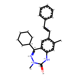 Cc1cc2c(cc1/C=C/c1ccccc1)C(C1CCCCC1)=NN(C)C(=O)N2